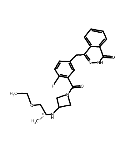 CCOC[C@@H](C)NC1CN(C(=O)c2cc(Cc3n[nH]c(=O)c4ccccc34)ccc2F)C1